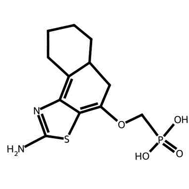 Nc1nc2c(s1)=C(OCP(=O)(O)O)CC1CCCCC=21